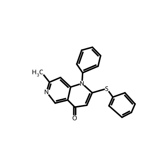 Cc1cc2c(cn1)c(=O)cc(Sc1ccccc1)n2-c1ccccc1